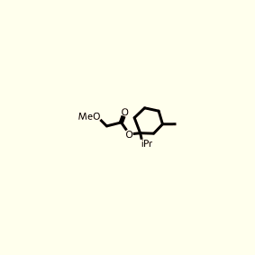 COCC(=O)OC1(C(C)C)CCCC(C)C1